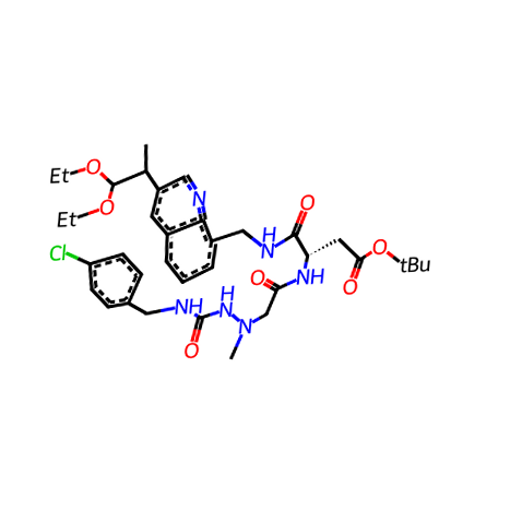 CCOC(OCC)C(C)c1cnc2c(CNC(=O)[C@H](CC(=O)OC(C)(C)C)NC(=O)CN(C)NC(=O)NCc3ccc(Cl)cc3)cccc2c1